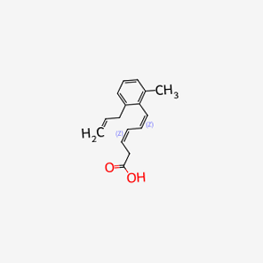 C=CCc1cccc(C)c1/C=C\C=C/CC(=O)O